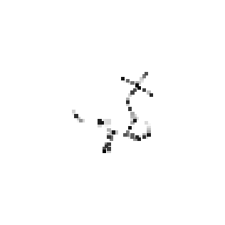 CCNC(=O)c1cccn1C[Si](C)(C)C